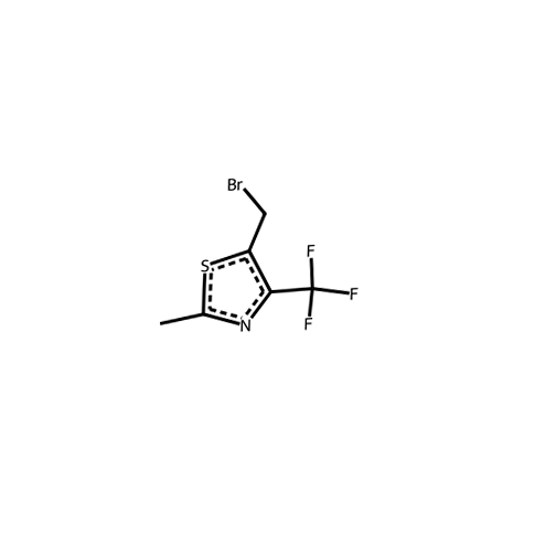 Cc1nc(C(F)(F)F)c(CBr)s1